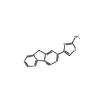 Nc1nc(-c2ccc3c(c2)Cc2ccccc2-3)cs1